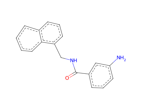 Nc1cccc(C(=O)NCc2cccc3ccccc23)c1